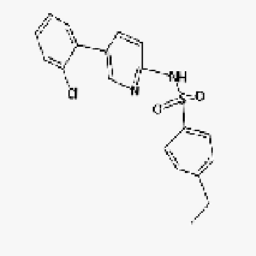 CCc1ccc(S(=O)(=O)Nc2ccc(-c3ccccc3Cl)cn2)cc1